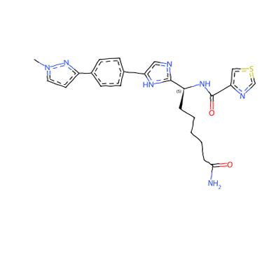 Cn1ccc(-c2ccc(-c3cnc([C@H](CCCCCC(N)=O)NC(=O)c4cscn4)[nH]3)cc2)n1